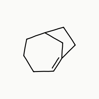 C1=C2CCC(CCC1)C2